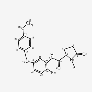 CN1C(=O)CCC1C(=O)Nc1cc(Oc2ccc(OC(F)(F)F)cc2)ccc1F